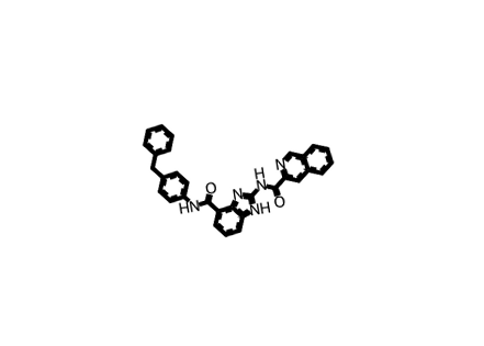 O=C(Nc1nc2c(C(=O)Nc3ccc(Cc4ccccc4)cc3)cccc2[nH]1)c1cc2ccccc2cn1